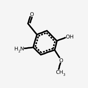 COc1cc(N)c(C=O)cc1O